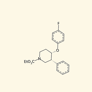 CCOC(=O)N1CC[C@H](Oc2ccc(F)cc2)[C@H](c2ccccc2)C1